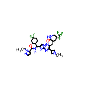 CCn1nccc1C(=O)N[C@H](c1cn2nc(C[C@H]3C[C@@H](C(F)(F)F)CNC3=O)c(C3CN(C)C3)nc2n1)C1CCC(F)(F)CC1